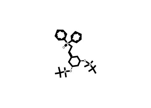 CC(C)(C)[Si](C)(C)O[C@@H]1CC(=CCP(=O)(c2ccccc2)c2ccccc2)C[C@@H](O[Si](C)(C)C(C)(C)C)C1